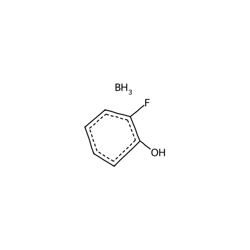 B.Oc1ccccc1F